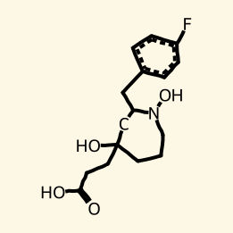 O=C(O)CCC1(O)CCCN(O)C(Cc2ccc(F)cc2)C1